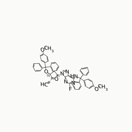 C#C[C@H]1O[C@@H](n2cnc3c(NC(c4ccccc4)(c4ccccc4)c4ccc(OC)cc4)nc(F)nc32)C[C@@H]1OC(c1ccccc1)(c1ccccc1)c1ccc(OC)cc1